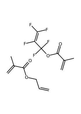 C=C(C)C(=O)OC(F)(F)C(F)=C(F)F.C=CCOC(=O)C(=C)C